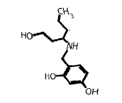 CC[CH]C(CCO)NCc1ccc(O)cc1O